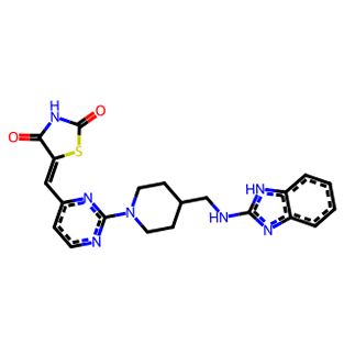 O=C1NC(=O)C(=Cc2ccnc(N3CCC(CNc4nc5ccccc5[nH]4)CC3)n2)S1